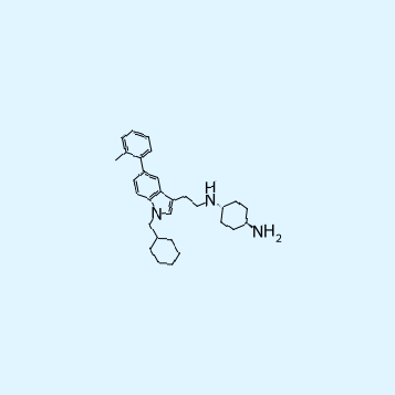 Cc1ccccc1-c1ccc2c(c1)c(CCN[C@H]1CC[C@H](N)CC1)cn2CC1CCCCC1